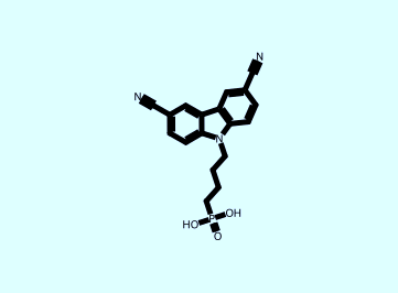 N#Cc1ccc2c(c1)c1cc(C#N)ccc1n2CCCCP(=O)(O)O